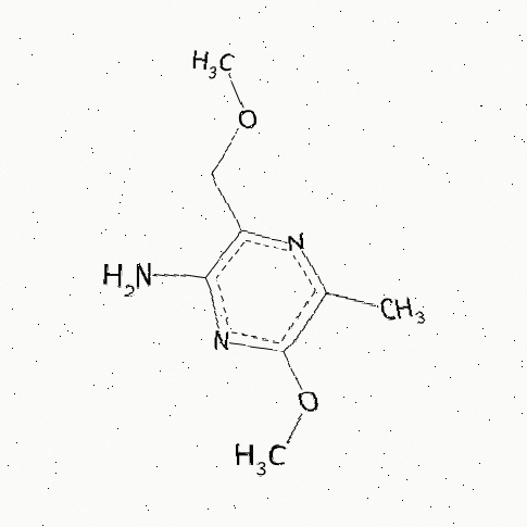 COCc1nc(C)c(OC)nc1N